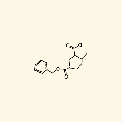 CC1CCN(C(=O)OCc2ccccc2)CC1C(=O)Cl